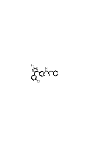 CCc1nc(-c2cccc(Cl)c2)c(-c2ccnc(NC(=O)Cc3ccccc3)c2)s1